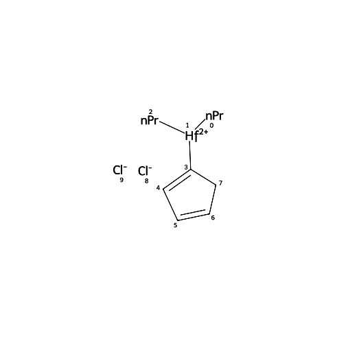 CC[CH2][Hf+2]([CH2]CC)[C]1=CC=CC1.[Cl-].[Cl-]